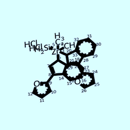 Cl.Cl.[CH3][Zr]([CH3])(=[SiH2])([CH]1C=C(c2ccco2)c2ccccc21)[CH]1C=C(c2ccco2)c2ccccc21